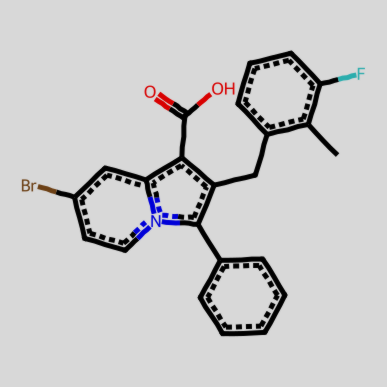 Cc1c(F)cccc1Cc1c(C(=O)O)c2cc(Br)ccn2c1-c1ccccc1